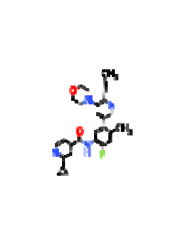 CC#Cc1ncc(-c2cc(NC(=O)c3ccnc(C4CC4)c3)c(F)cc2C)cc1N1CCOCC1